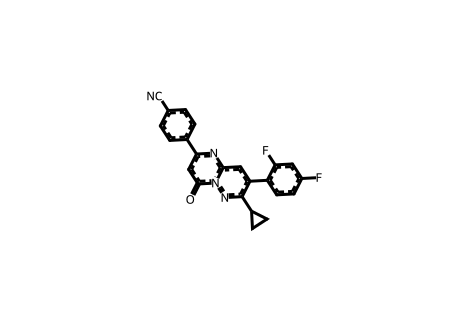 N#Cc1ccc(-c2cc(=O)n3nc(C4CC4)c(-c4ccc(F)cc4F)cc3n2)cc1